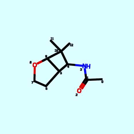 CC(=O)NC1C2CCOC2C1(C)C